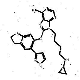 Nc1ncnc2c1nc(Sc1cc3c(cc1-c1cc[nH]n1)OCO3)n2CCCCNC1CC1